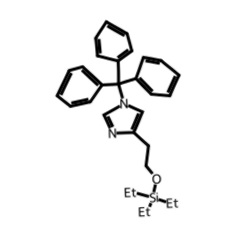 CC[Si](CC)(CC)OCCc1cn(C(c2ccccc2)(c2ccccc2)c2ccccc2)cn1